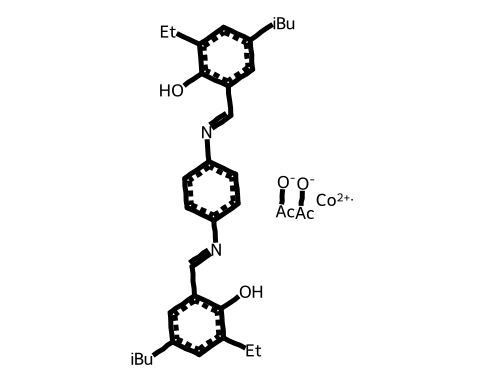 CC(=O)[O-].CC(=O)[O-].CCc1cc(C(C)CC)cc(C=Nc2ccc(N=Cc3cc(C(C)CC)cc(CC)c3O)cc2)c1O.[Co+2]